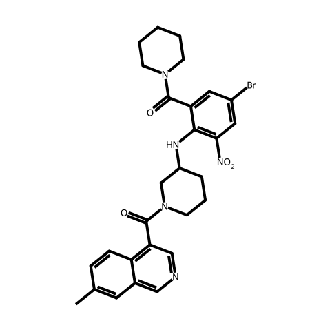 Cc1ccc2c(C(=O)N3CCCC(Nc4c(C(=O)N5CCCCC5)cc(Br)cc4[N+](=O)[O-])C3)cncc2c1